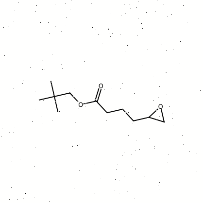 CC(C)(C)COC(=O)CCCC1CO1